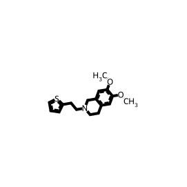 COc1cc2c(cc1OC)CN(CCc1cccs1)CC2